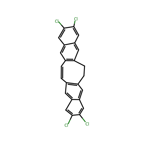 Clc1cc2cc3c(cc2cc1Cl)CCc1cc2cc(Cl)c(Cl)cc2cc1/C=C\3